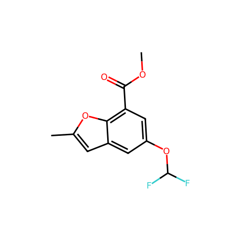 COC(=O)c1cc(OC(F)F)cc2cc(C)oc12